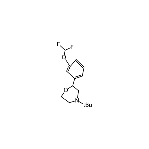 CC(C)(C)N1CCOC(c2cccc(OC(F)F)c2)C1